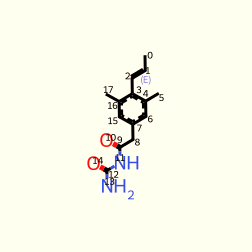 C/C=C/c1c(C)cc(CC(=O)NC(N)=O)cc1C